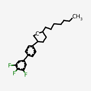 CCCCCCCC1CCC(c2ccc(-c3cc(F)c(F)c(F)c3)cc2)CC1